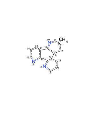 C.c1cncc(-c2cccnc2-c2cccnc2)c1